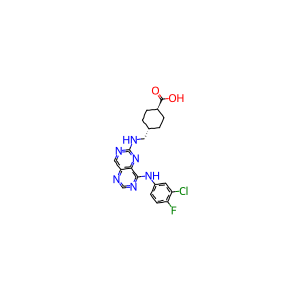 O=C(O)[C@H]1CC[C@H](CNc2ncc3ncnc(Nc4ccc(F)c(Cl)c4)c3n2)CC1